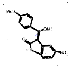 CO/C(=C1/C(=O)Nc2ccc([N+](=O)[O-])cc21)c1ccc(OC)cc1